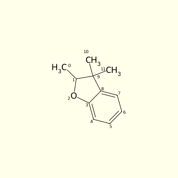 CC1Oc2ccccc2C1(C)C